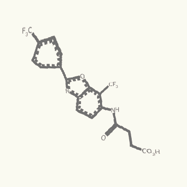 O=C(O)CCC(=O)Nc1ccc2nc(-c3ccc(C(F)(F)F)cc3)oc2c1C(F)(F)F